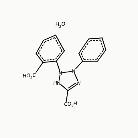 O.O=C(O)C1=NN(c2ccccc2)N(c2ccccc2C(=O)O)N1